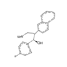 CNCC(c1ccc2ccccc2c1)[C@@H](O)c1ccc(F)cc1